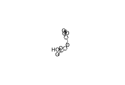 CS(=O)(=O)Oc1ccc(CCOc2ccc(C[C@H](C(=O)O)C3CO3)cc2)cc1